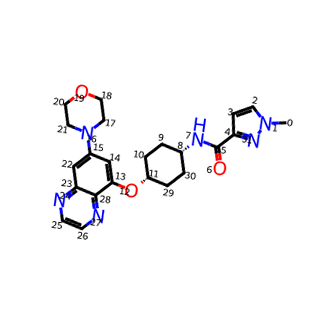 Cn1ccc(C(=O)N[C@H]2CC[C@@H](Oc3cc(N4CCOCC4)cc4nccnc34)CC2)n1